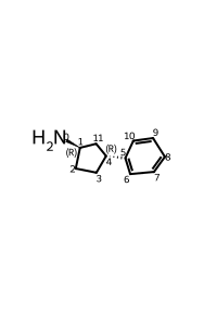 N[C@@H]1CC[C@@H](c2ccccc2)C1